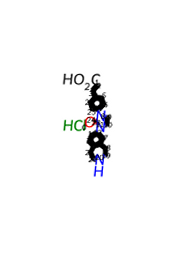 Cl.O=C(O)C=Cc1ccc(N2CCN(c3ccc4c(c3)CCNCC4)C2=O)cc1